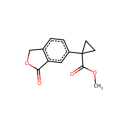 COC(=O)C1(c2ccc3c(c2)C(=O)OC3)CC1